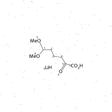 COC(CCCC(=O)C(=O)O)OC.[LiH]